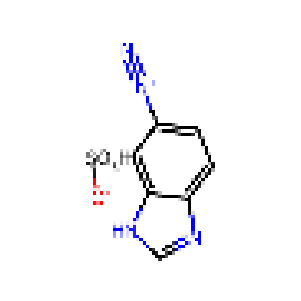 N#[N+]c1ccc2nc[nH]c2c1.O=S(=O)([O-])O